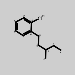 CCC(C)CCc1ccccc1Cl